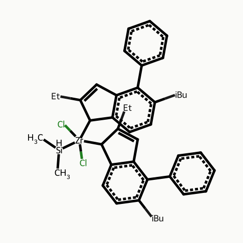 CCC1=Cc2c(ccc(C(C)CC)c2-c2ccccc2)[CH]1[Zr]([Cl])([Cl])([CH]1C(CC)=Cc2c1ccc(C(C)CC)c2-c1ccccc1)[SiH](C)C